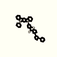 O=c1c2ccc(-n3c4ccccc4c4cc5c6ccccc6n(-c6ccccc6)c5cc43)cc2oc2ccc(-c3cccc(-c4ccccc4)c3)cc12